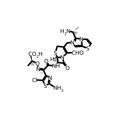 C[C@H](O/N=C(\C(=O)N[C@@H]1C(=O)N2C(C=O)=C(C[n+]3cc4sccn4c3[C@@H](C)N)CS[C@H]12)c1nc(N)sc1Cl)C(=O)O